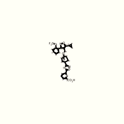 O=C(O)c1cccc(-c2nc(C34CCC(OCc5c(-c6ccccc6OC(F)(F)F)noc5C5CC5)(CC3)CC4)no2)n1